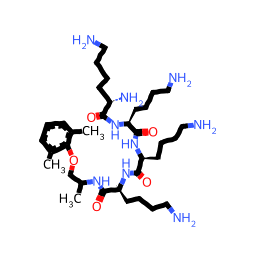 Cc1cccc(C)c1OCC(C)NC(=O)[C@H](CCCCN)NC(=O)[C@H](CCCCN)NC(=O)[C@H](CCCCN)NC(=O)[C@@H](N)CCCCN